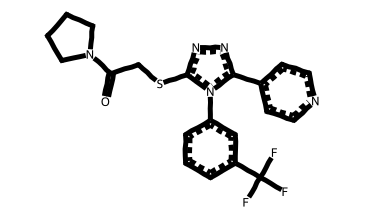 O=C(CSc1nnc(-c2ccncc2)n1-c1cccc(C(F)(F)F)c1)N1CCCC1